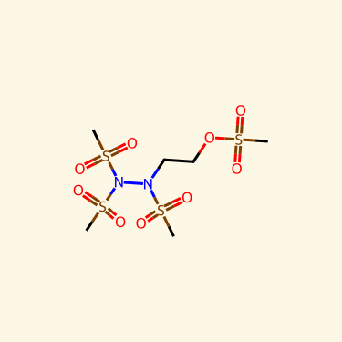 CS(=O)(=O)OCCN(N(S(C)(=O)=O)S(C)(=O)=O)S(C)(=O)=O